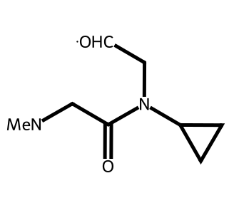 CNCC(=O)N(C[C]=O)C1CC1